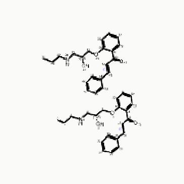 CCCNC[C@@H](O)COc1ccccc1C(=O)/C=C/c1ccccc1.CCCNC[C@H](O)COc1ccccc1C(=O)/C=C/c1ccccc1